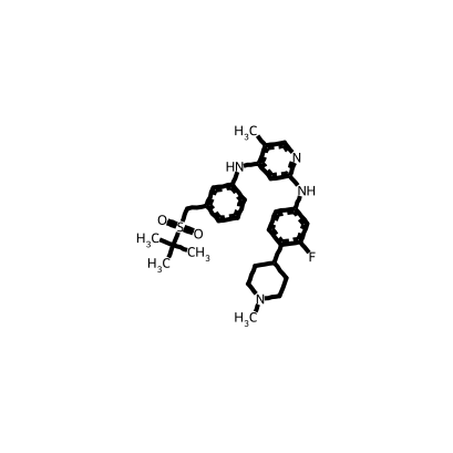 Cc1cnc(Nc2ccc(C3CCN(C)CC3)c(F)c2)cc1Nc1cccc(CS(=O)(=O)C(C)(C)C)c1